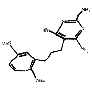 CCCc1nc(N)nc(N)c1CCCc1cc(OC)ccc1OC